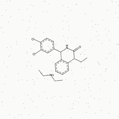 CCC1C(=O)NC(c2ccc(Cl)c(Cl)c2)c2ccccc21.CCNCC